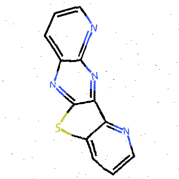 c1cnc2nc3c(nc2c1)sc1cccnc13